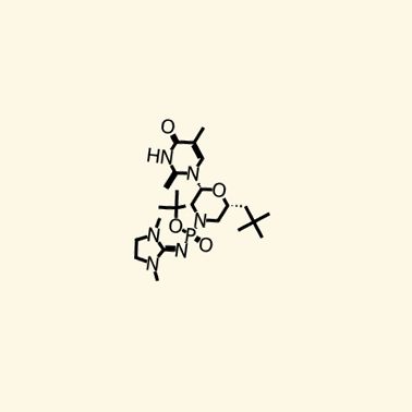 C=C1NC(=O)C(C)=CN1[C@H]1CN(P(=O)(N=C2N(C)CCN2C)OC(C)(C)C)C[C@@H](CC(C)(C)C)O1